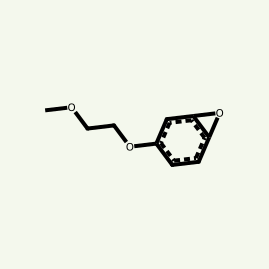 COCCOc1ccc2c(c1)O2